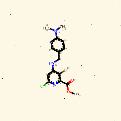 COC(=O)c1nc(Cl)cc(NCc2ccc(N(C)C)cc2)c1Br